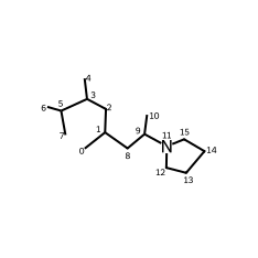 CC(CC(C)C(C)C)CC(C)N1CCCC1